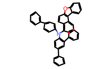 c1ccc(-c2ccc(N(c3ccc(-c4ccccc4)cc3-c3ccccc3)c3cccc4c3ccc3oc5ccccc5c34)cc2)cc1